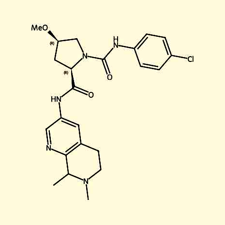 CO[C@@H]1C[C@H](C(=O)Nc2cnc3c(c2)CCN(C)C3C)N(C(=O)Nc2ccc(Cl)cc2)C1